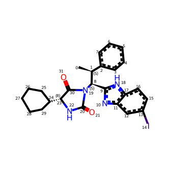 C[C@@H](c1ccccc1)[C@@H](c1nc2cc(I)ccc2[nH]1)N1C(=O)N[C@H](C2CCCCC2)C1=O